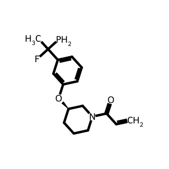 C=CC(=O)N1CCC[C@@H](Oc2cccc(C(C)(F)P)c2)C1